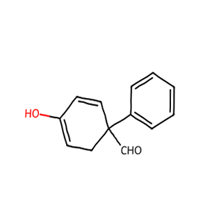 O=CC1(c2ccccc2)C=CC(O)=CC1